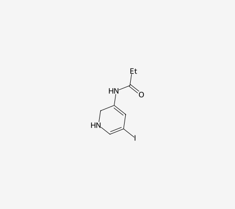 CCC(=O)NC1=CC(I)=CNC1